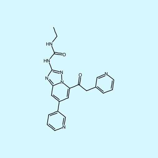 CCNC(=O)Nc1nc2cc(-c3cccnc3)cc(C(=O)Cc3cccnc3)n2n1